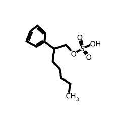 CCCCCC(COS(=O)(=O)O)c1ccccc1